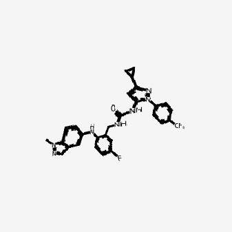 Cn1ncc2cc(Nc3ccc(F)cc3CNC(=O)Nc3cc(C4CC4)nn3-c3ccc(C(F)(F)F)cc3)ccc21